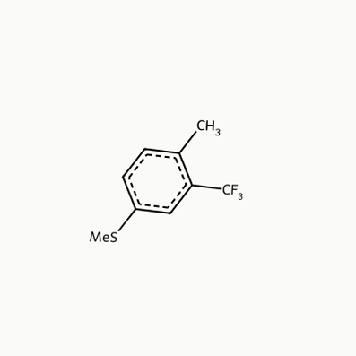 CSc1ccc(C)c(C(F)(F)F)c1